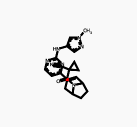 Cn1cc(Nc2nccc(C3=CC4CCC(C3)N4C(=O)C3(C#N)CC3)n2)cn1